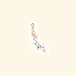 O=C1CCC(N2Cc3cc(C4CCN(S(=O)(=O)c5ccc(OCc6ccccc6)cc5)CC4)c(F)cc3C2=O)C(=O)N1